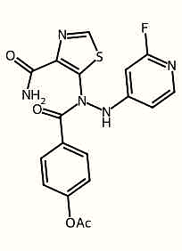 CC(=O)Oc1ccc(C(=O)N(Nc2ccnc(F)c2)c2scnc2C(N)=O)cc1